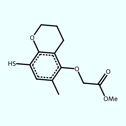 COC(=O)COc1c(C)cc(S)c2c1CCCO2